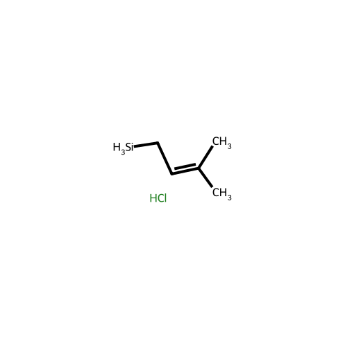 CC(C)=CC[SiH3].Cl